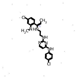 C=Nc1cc(Cl)ccc1/C(=C\C)NCCNc1nccc(Nc2ccc(Cl)cc2)n1